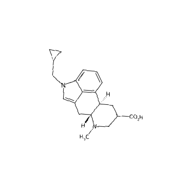 CN1CC(C(=O)O)C[C@@H]2c3cccc4c3c(cn4CC3CC3)C[C@H]21